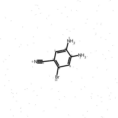 N#Cc1cc(N)c(N)cc1Br